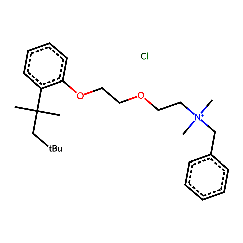 CC(C)(C)CC(C)(C)c1ccccc1OCCOCC[N+](C)(C)Cc1ccccc1.[Cl-]